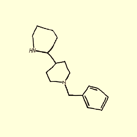 c1ccc(CN2CCC(C3CCCCN3)CC2)cc1